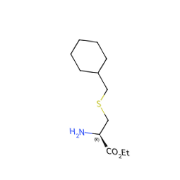 CCOC(=O)[C@@H](N)CSCC1CCCCC1